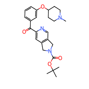 CN1CCC(Oc2cccc(C(=O)c3cc4c(cn3)CN(C(=O)OC(C)(C)C)C4)c2)CC1